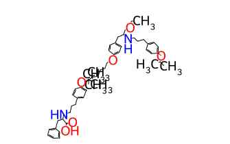 CCOCC(Cc1ccc(OCCCCC(C)(C)C(C)(C)Oc2ccc(CCCNC(Cc3ccccc3)C(=O)O)cc2)cc1)NCCCc1ccc(OC(C)C)cc1